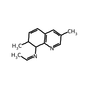 C/C=N\C1c2ncc(C)cc2C=CC1C